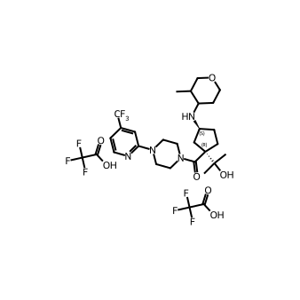 CC1COCCC1N[C@H]1CC[C@](C(=O)N2CCN(c3cc(C(F)(F)F)ccn3)CC2)(C(C)(C)O)C1.O=C(O)C(F)(F)F.O=C(O)C(F)(F)F